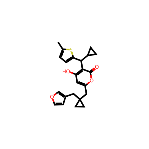 Cc1ccc(C(c2c(O)cc(CC3(Cc4ccoc4)CC3)oc2=O)C2CC2)s1